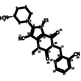 CCn1c(N2CCC[C@@H](N)C2)c(C#N)c2c1c(=O)n(Cc1ncccc1C#N)c(=O)n2C